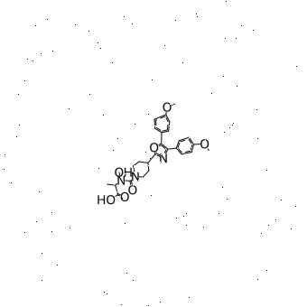 COc1ccc(-c2nc(C3CCN(C(=O)N(O)C(C)C(=O)O)CC3)oc2-c2ccc(OC)cc2)cc1